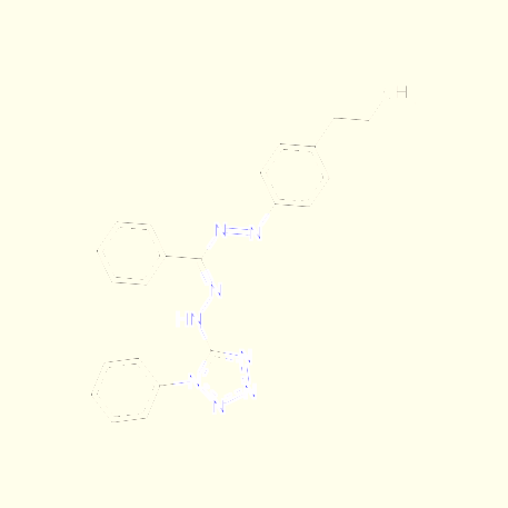 CCCc1ccc(N=NC(=NNc2nnnn2-c2ccccc2)c2ccccc2)cc1